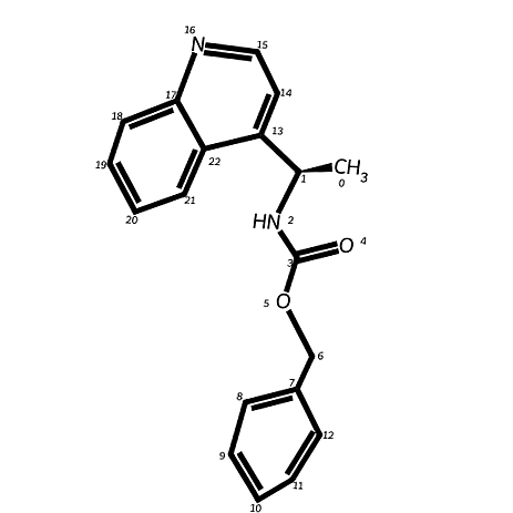 C[C@@H](NC(=O)OCc1ccccc1)c1ccnc2ccccc12